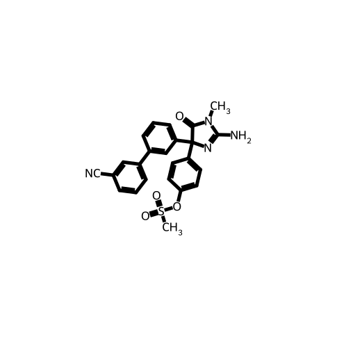 CN1C(=O)C(c2ccc(OS(C)(=O)=O)cc2)(c2cccc(-c3cccc(C#N)c3)c2)N=C1N